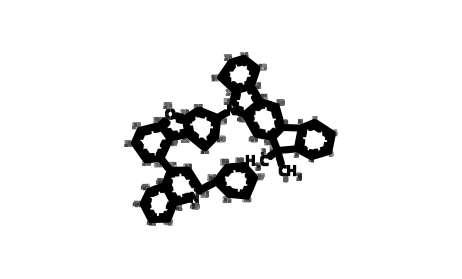 CC1(C)c2ccccc2-c2cc3c4ccccc4n(-c4ccc5c(c4)oc4cccc(-c6cc(-c7ccccc7)nc7ccccc67)c45)c3cc21